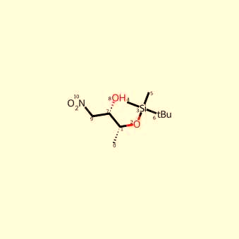 C[C@@H](O[Si](C)(C)C(C)(C)C)[C@@H](O)C[N+](=O)[O-]